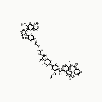 CCOc1cc(N2CCC(C(=O)NCCOCCOc3ccc(-n4c(O)nnc4-c4cc(CC)c(O)cc4O)cc3)CC2)ccc1Nc1ncc2c(n1)N(S(C)(=O)=O)c1ccccc1C(=O)N2C